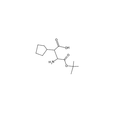 CC(C)(C)OC(=O)C(N)C(C(=O)O)C1CCCC1